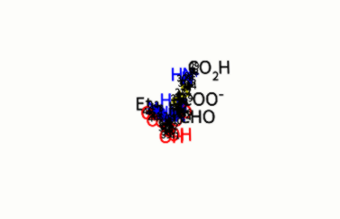 CCN1CCN(C(=O)N[C@@H](C(=O)N[C@]2(NC=O)C(=O)N3C(C(=O)[O-])=C(CSc4cc[n+](NCC(=O)O)cc4)CS[C@@H]32)c2ccc(O)c(O)c2)C(=O)C1=O